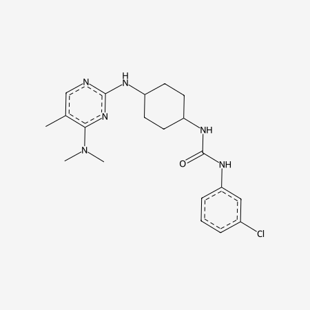 Cc1cnc(NC2CCC(NC(=O)Nc3cccc(Cl)c3)CC2)nc1N(C)C